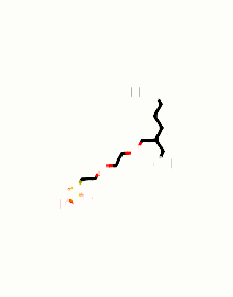 CCCCC(CC)COCCOCCS(=O)(=O)O